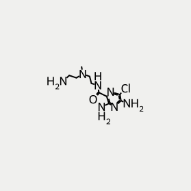 CN(CCN)CCNC(=O)c1nc(Cl)c(N)nc1N